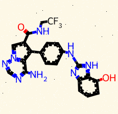 Nc1ncnn2cc(C(=O)NCC(F)(F)F)c(-c3ccc(Nc4nc5cccc(O)c5[nH]4)cc3)c12